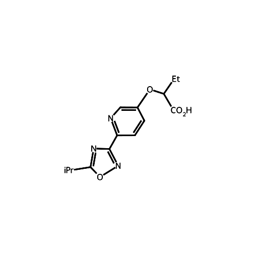 CCC(Oc1ccc(-c2noc(C(C)C)n2)nc1)C(=O)O